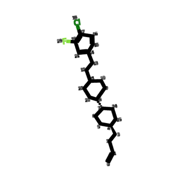 C=CCC[C@H]1CC[C@H](C2CCC(CCc3ccc(Cl)c(F)c3)CC2)CC1